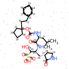 CC(C)C[C@H](NC(=O)OC1(CCc2ccccc2)CCCC1)C(=O)N[C@@H](C[C@@H]1CCNC1=O)C(O)S(=O)(=O)O